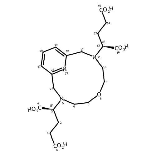 O=C(O)CC[C@@H](C(=O)O)N1CCOCCN([C@@H](CCC(=O)O)C(=O)O)Cc2cccc(n2)C1